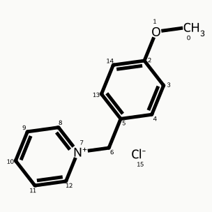 COc1ccc(C[n+]2ccccc2)cc1.[Cl-]